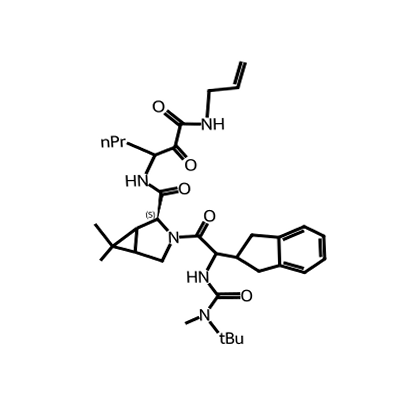 C=CCNC(=O)C(=O)C(CCC)NC(=O)[C@@H]1C2C(CN1C(=O)C(NC(=O)N(C)C(C)(C)C)C1Cc3ccccc3C1)C2(C)C